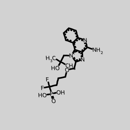 CC(C)(O)Cn1c(COCCCC(F)(F)P(=O)(O)O)nc2c(N)nc3ccccc3c21